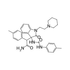 Cc1ccc(NC(=O)NC2(C(C(N)=O)c3ccc(C)cc3)C(=O)N(CCN3CCCCC3)c3ccccc32)cc1